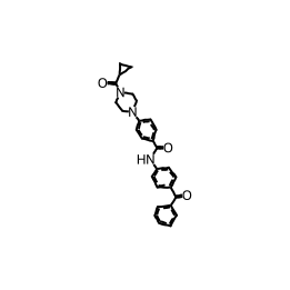 O=C(Nc1ccc(C(=O)c2ccccc2)cc1)c1ccc(N2CCN(C(=O)C3CC3)CC2)cc1